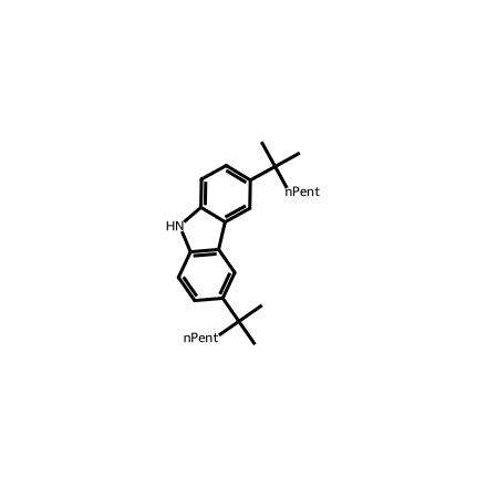 CCCCCC(C)(C)c1ccc2[nH]c3ccc(C(C)(C)CCCCC)cc3c2c1